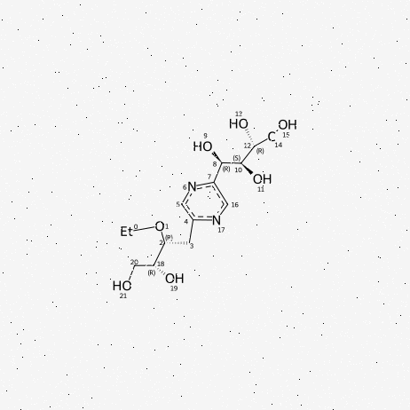 CCO[C@H](Cc1cnc([C@@H](O)[C@H](O)[C@H](O)CO)cn1)[C@H](O)CO